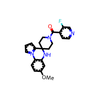 COc1ccc2c(c1)NC1(CCN(C(=O)c3ccncc3F)CC1)c1cccn1-2